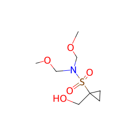 COCN(COC)S(=O)(=O)C1(CO)CC1